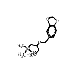 C[N+](C)(C)CC(CC(=O)[O-])OCc1ccc2c(c1)OCO2